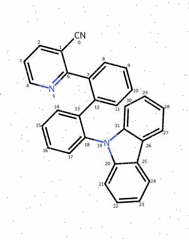 N#Cc1cccnc1-c1ccccc1-c1ccccc1-n1c2ccccc2c2ccccc21